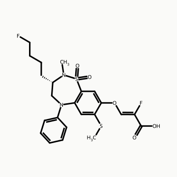 CSc1cc2c(cc1O/C=C(\F)C(=O)O)S(=O)(=O)N(C)[C@@H](CCCCF)CN2c1ccccc1